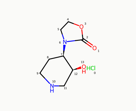 Cl.O=C1OCCN1[C@@H]1CCNC[C@@H]1O